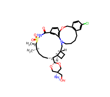 C[C@@H]1[C@@H](C)CCC[C@@H]([C@H]2OC[C@](N)(CO)CO2)[C@@H]2CC[C@H]2CN2CCCCc3cc(Cl)ccc3COc3ccc(cc32)C(=O)NS1(=O)=O